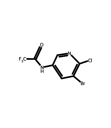 O=C(Nc1cnc(Cl)c(Br)c1)C(F)(F)F